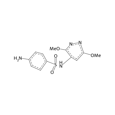 COc1cc(NS(=O)(=O)c2ccc(N)cc2)c(OC)nn1